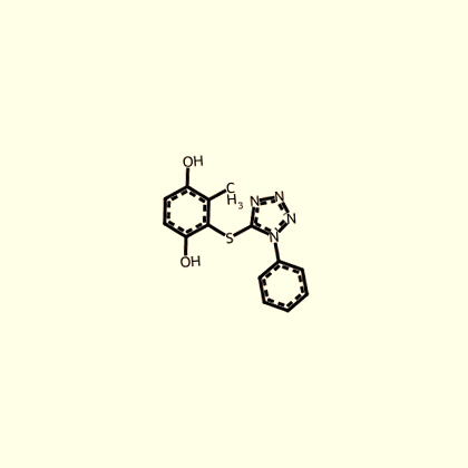 Cc1c(O)ccc(O)c1Sc1nnnn1-c1ccccc1